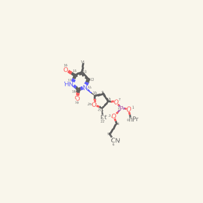 CCCOP(OCCC#N)OC1C[C@H](n2cc(C)c(=O)[nH]c2=O)O[C@@H]1CC